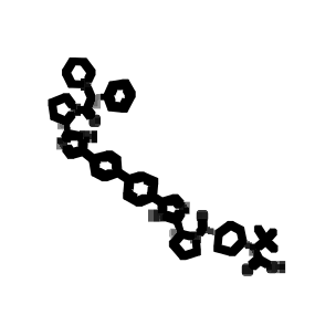 CC(C)(C)N(C(=O)O)[C@H]1CC[C@@H](C(=O)N2CCC[C@H]2c2ncc(-c3ccc(-c4ccc(-c5cnc([C@@H]6CCCN6C(=O)[C@@H](c6ccccc6)N6CCCCC6)[nH]5)cc4)cc3)[nH]2)CC1